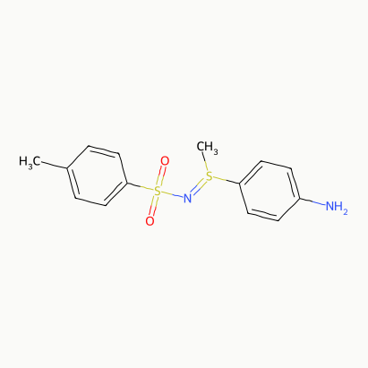 Cc1ccc(S(=O)(=O)/N=S(\C)c2ccc(N)cc2)cc1